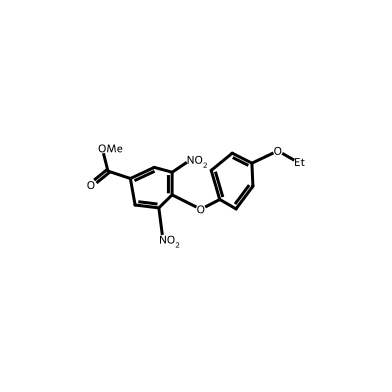 CCOc1ccc(Oc2c([N+](=O)[O-])cc(C(=O)OC)cc2[N+](=O)[O-])cc1